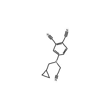 N#CCN(CC1CC1)c1ccc(C#N)c(C#N)c1